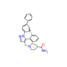 NC(=O)C1CCN(Cc2cnn(-c3ccc(-c4ccccc4)cc3)c2-c2ccccc2F)CC1